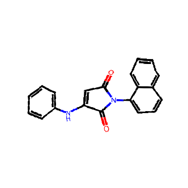 O=C1C=C(Nc2ccccc2)C(=O)N1c1cccc2ccccc12